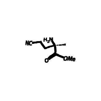 COC(=O)[C@](C)(N)CCC#N